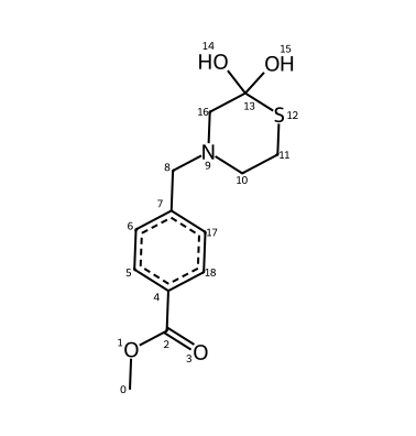 COC(=O)c1ccc(CN2CCSC(O)(O)C2)cc1